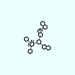 c1ccc(-c2cc(-c3cc(-c4ccc5ccccc5c4)cc(-c4ccc5c(ccn5-c5cccc6ccccc56)c4)c3)nc(-c3ccccc3)n2)cc1